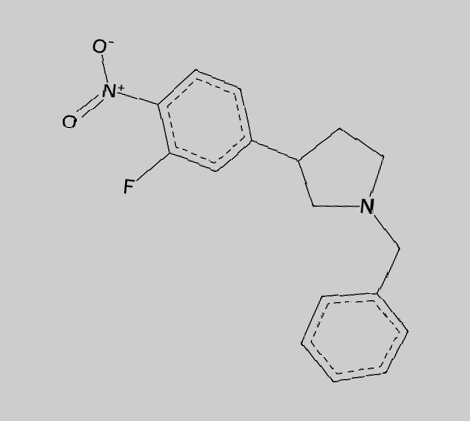 O=[N+]([O-])c1ccc(C2CCN(Cc3ccccc3)C2)cc1F